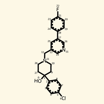 OC1(c2ccc(Cl)cc2)CCN(Cc2cncc(-c3ccc(F)cc3)c2)CC1